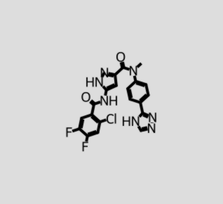 CN(C(=O)c1cc(NC(=O)c2cc(F)c(F)cc2Cl)[nH]n1)c1ccc(-c2nnc[nH]2)cc1